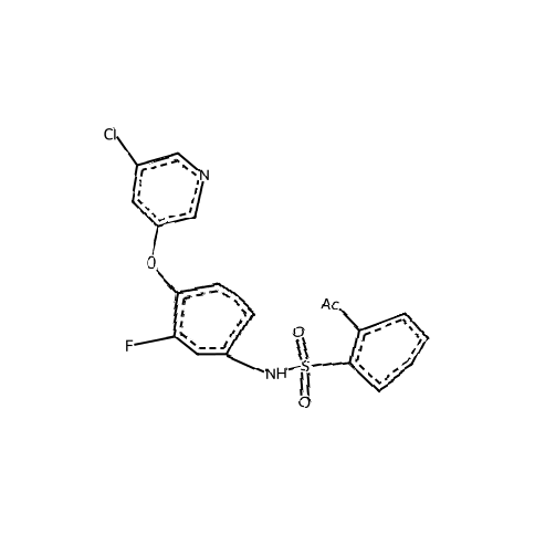 CC(=O)c1ccccc1S(=O)(=O)Nc1ccc(Oc2cncc(Cl)c2)c(F)c1